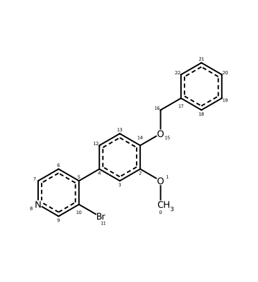 COc1cc(-c2ccncc2Br)ccc1OCc1ccccc1